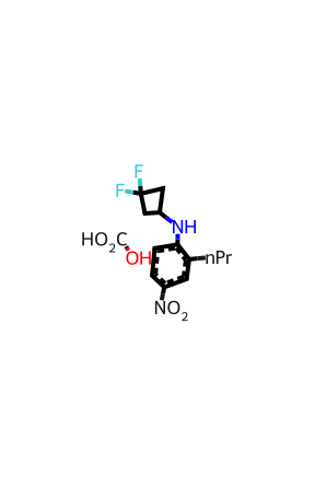 CCCc1cc([N+](=O)[O-])ccc1NC1CC(F)(F)C1.O=C(O)O